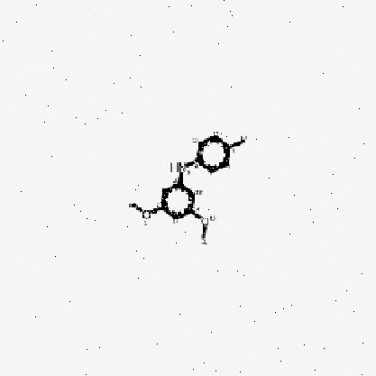 COc1cc(Nc2ccc(C)cc2)cc(OC)c1